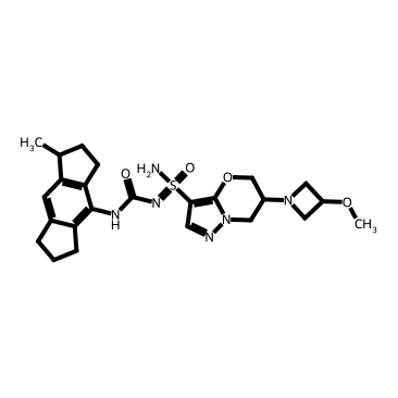 COC1CN(C2COc3c(S(N)(=O)=NC(=O)Nc4c5c(cc6c4CCC6C)CCC5)cnn3C2)C1